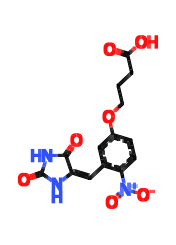 O=C(O)CCCOc1ccc([N+](=O)[O-])c(C=C2NC(=O)NC2=O)c1